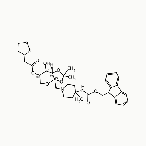 CC1(NC(=O)OCC2c3ccccc3-c3ccccc32)CCN(C[C@@]23OC[C@@H](OC(=O)CC4CCSS4)[C@@H](O)[C@@H]2OC(C)(C)O3)CC1